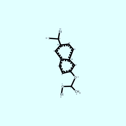 CCOC(C)Oc1ccc2cc(C(I)CC)ccc2c1